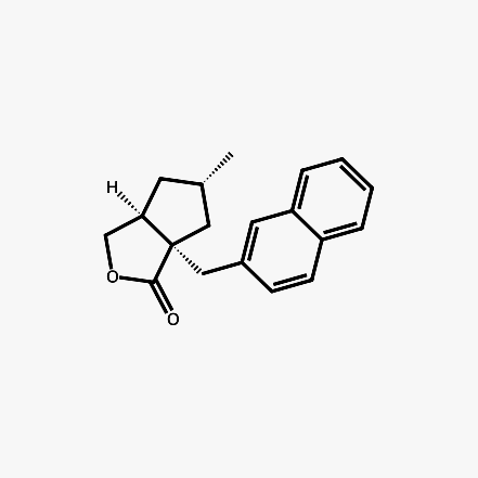 C[C@H]1C[C@@H]2COC(=O)[C@]2(Cc2ccc3ccccc3c2)C1